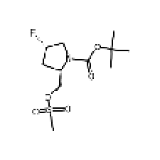 CC(C)(C)OC(=O)N1C[C@@H](F)C[C@@H]1COS(C)(=O)=O